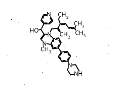 C=C(CN1C(C(O)c2ccncc2)=CN(C)c2cc(-c3ccc(N4CCNCC4)cc3)ccc21)/C(=C\C=C(C)C)CC